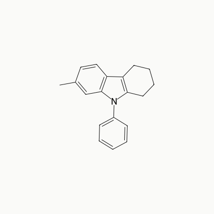 Cc1ccc2c3c(n(-c4ccccc4)c2c1)CCCC3